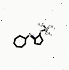 C[Si](C)(C)SC1CCC/C1=N\C1CCCCCC1